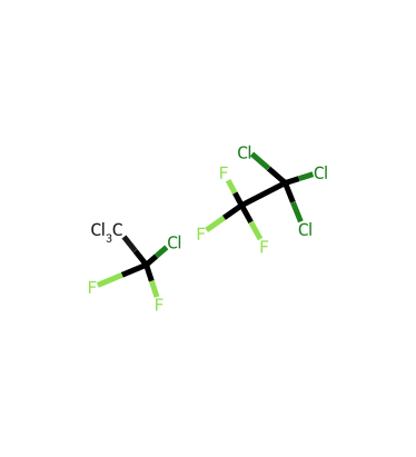 FC(F)(Cl)C(Cl)(Cl)Cl.FC(F)(F)C(Cl)(Cl)Cl